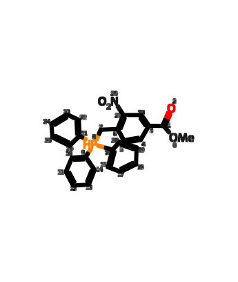 COC(=O)c1ccc(C[PH](c2ccccc2)(c2ccccc2)c2ccccc2)c([N+](=O)[O-])c1